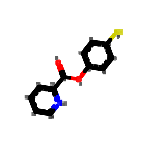 O=C(Oc1ccc(S)cc1)c1ccccn1